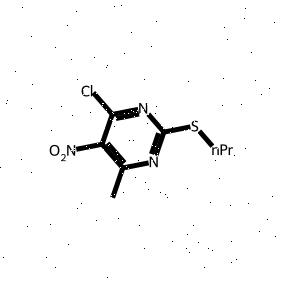 CCCSc1nc(C)c([N+](=O)[O-])c(Cl)n1